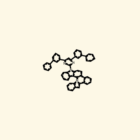 c1ccc(-c2cccc(-c3cc(-c4cccc(-c5ccccc5)c4)nc(-n4c5ccccc5c5c4ccc4c6ccccc6c6cc7ccccc7n6c45)n3)c2)cc1